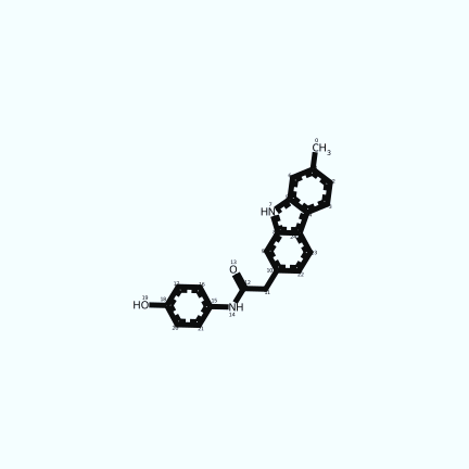 Cc1ccc2c(c1)[nH]c1cc(CC(=O)Nc3ccc(O)cc3)ccc12